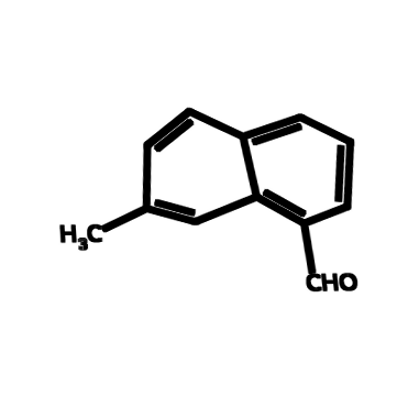 Cc1ccc2cccc(C=O)c2c1